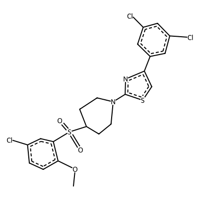 COc1ccc(Cl)cc1S(=O)(=O)C1CCN(c2nc(-c3cc(Cl)cc(Cl)c3)cs2)CC1